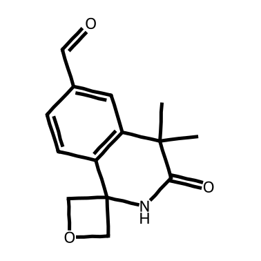 CC1(C)C(=O)NC2(COC2)c2ccc(C=O)cc21